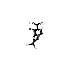 CC(C)c1ncn2cc(C(F)F)nc2c1Br